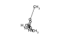 CCCCCCCCCCCCCCOc1ccc(CC(COP(O)OCCNC)OC(=O)CC)cc1